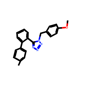 COc1ccc(Cn2nnnc2-c2ccccc2-c2ccc(C)cc2)cc1